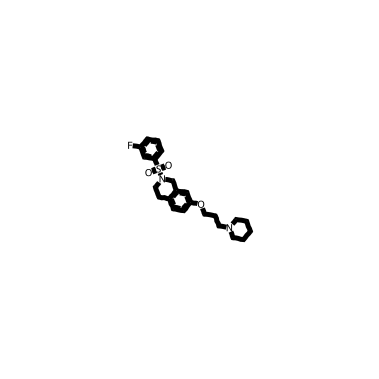 O=S(=O)(c1cccc(F)c1)N1CCc2ccc(OCCCN3CCCCC3)cc2C1